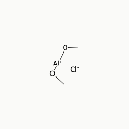 C[O][Al+][O]C.[Cl-]